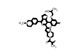 C=C(F)C(=O)N1CCn2nc(-c3nc(-c4ccc5c(c4)CCN(C)C5)c4ccsc4c3-c3c(F)cc(F)cc3OCC(C)O)cc2C1